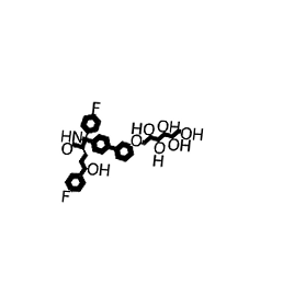 O=C1N[C@](c2ccc(F)cc2)(c2ccc(-c3cccc(OC[C@@H](O)[C@@H](O)[C@H](O)[C@@H](O)CO)c3)cc2)[C@H]1CC[C@H](O)c1ccc(F)cc1